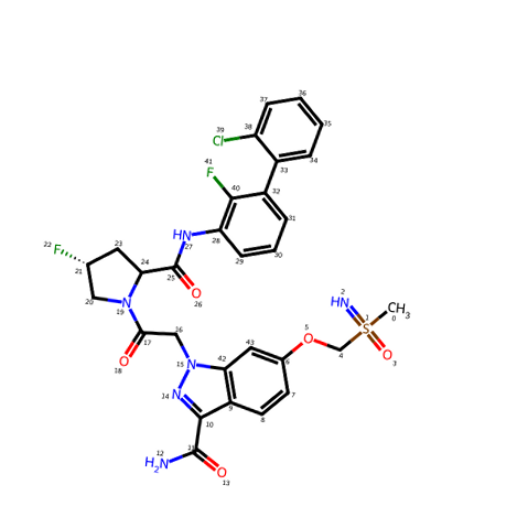 CS(=N)(=O)COc1ccc2c(C(N)=O)nn(CC(=O)N3C[C@H](F)CC3C(=O)Nc3cccc(-c4ccccc4Cl)c3F)c2c1